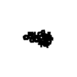 C=C(C)C(=O)OCC(F)(F)OC(F)(F)OC(F)(F)OC(F)(F)CSc1ccc2cc(-c3ccccc3CC)oc2c1